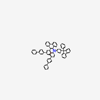 c1ccc(-c2ccc(-c3ccc(N(c4ccc(C5(c6ccccc6)c6ccccc6-c6ccccc65)cc4)c4c(-c5cccc(-c6ccc(-c7ccccc7)cc6)c5)c5ccccc5c5ccccc45)cc3)cc2)cc1